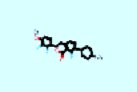 CCCC1CCC(c2ccc3c(c2F)C(=O)OC(c2ccc(OCC)c(F)c2F)C3)CC1